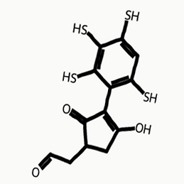 O=CCC1CC(O)=C(c2c(S)cc(S)c(S)c2S)C1=O